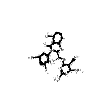 C[C@H](Nc1nc(N)nc(N)c1C#N)c1nc2cccc(Cl)c2c(=O)n1-c1cc(F)cc(F)c1